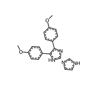 COc1ccc(-c2nc[nH]c2-c2ccc(OC)cc2)cc1.c1c[nH]cn1